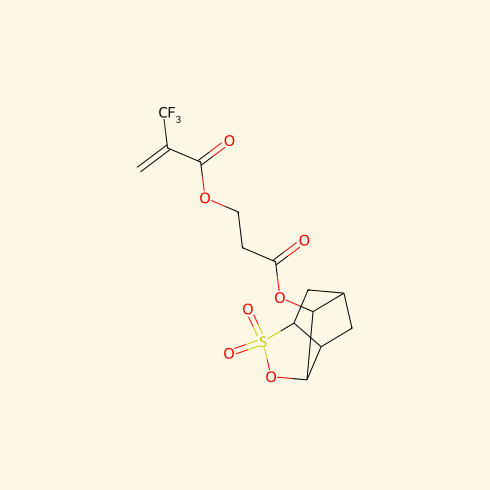 C=C(C(=O)OCCC(=O)OC1C2CC3C1OS(=O)(=O)C3C2)C(F)(F)F